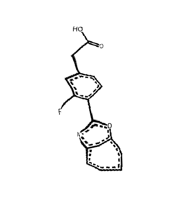 O=C(O)Cc1ccc(-c2nc3ccccc3o2)c(F)c1